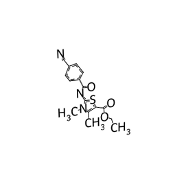 CCOC(=O)c1sc(=NC(=O)c2ccc(C#N)cc2)n(C)c1C